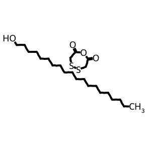 CCCCCCCCCCCCCCCCCCCCO.O=C1CSSCC(=O)O1